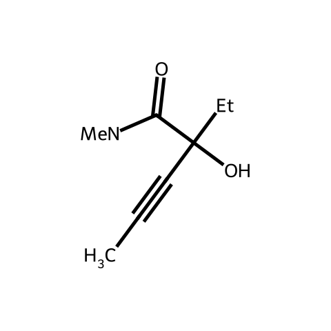 CC#CC(O)(CC)C(=O)NC